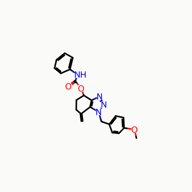 C=C1CCC(OC(=O)Nc2ccccc2)c2nnn(Cc3ccc(OC)cc3)c21